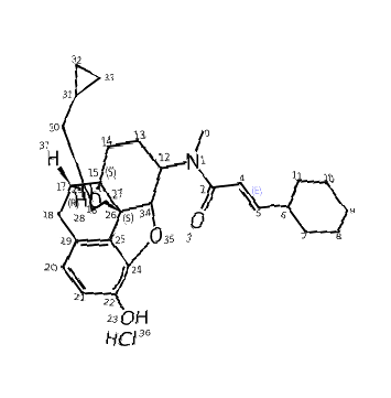 CN(C(=O)/C=C/C1CCCCC1)C1CC[C@@]2(O)[C@H]3Cc4ccc(O)c5c4[C@@]2(CCN3CC2CC2)C1O5.Cl